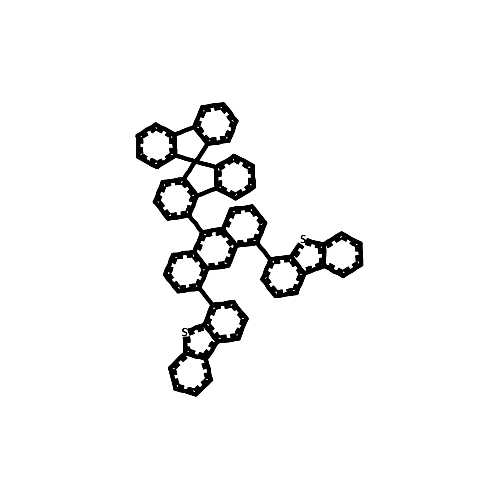 c1ccc2c(c1)-c1ccccc1C21c2ccccc2-c2c(-c3c4cccc(-c5cccc6c5sc5ccccc56)c4cc4c(-c5cccc6c5sc5ccccc56)cccc34)cccc21